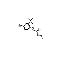 CCOC(=O)COc1ccc(Br)cc1C(C)(C)C